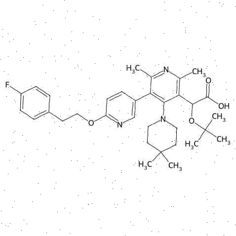 Cc1nc(C)c(C(OC(C)(C)C)C(=O)O)c(N2CCC(C)(C)CC2)c1-c1ccc(OCCc2ccc(F)cc2)nc1